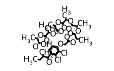 C=C(CC)C(=O)c1ccc(OCC(=O)OC(C)C(=O)OC(C)C(=O)OC(C)C(=O)OC(C)C(=O)OC(C)C(=O)OC(C)C(=O)O)c(Cl)c1Cl